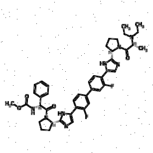 CCN(CC)[C@H](C)C(=O)N1CCC[C@H]1c1ncc(-c2ccc(-c3ccc(-c4cnc([C@@H]5CCCN5C(=O)[C@H](NC(=O)OC)c5ccccc5)[nH]4)c(F)c3)cc2F)[nH]1